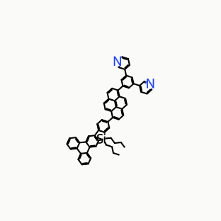 CCCC[Si]1(CCCC)c2cc(-c3ccc4ccc5c(-c6cc(-c7cccnc7)cc(-c7cccnc7)c6)ccc6ccc3c4c65)ccc2-c2cc3c4ccccc4c4ccccc4c3cc21